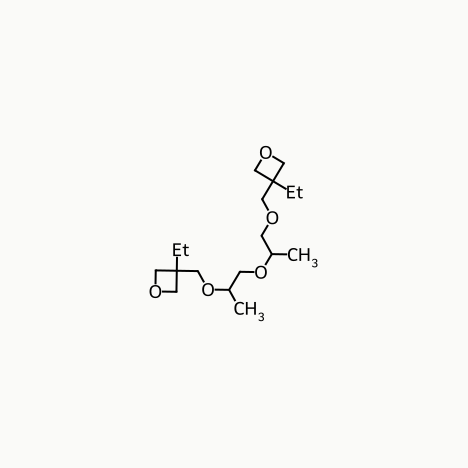 CCC1(COCC(C)OCC(C)OCC2(CC)COC2)COC1